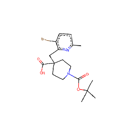 Cc1ccc(Br)c(CC2(C(=O)O)CCN(C(=O)OC(C)(C)C)CC2)n1